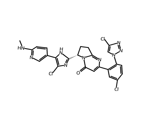 CNc1ccc(-c2[nH]c([C@@H]3CCc4nc(-c5cc(Cl)ccc5-n5cc(Cl)nn5)cc(=O)n43)nc2Cl)cn1